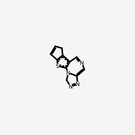 C1=Cc2sc3c(c2C1)C=NC=C1N=NCN13